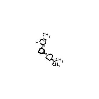 C[C@H]1CC[C@H](c2cccc(N3CCC(N(C)C)CC3)c2)NC1